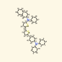 c1ccc(N(c2ccccc2)c2ccc(-c3ccc(-c4ccc(N(c5ccccc5)c5ccc6ccccc6c5)s4)s3)cc2)cc1